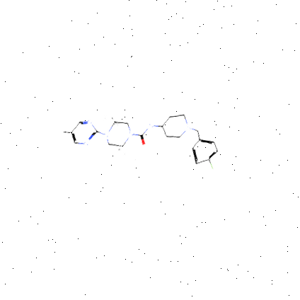 C[C@@H]1CN(c2ncc(C(F)(F)F)cn2)[C@@H](C)CN1C(=O)NC1CCN(Cc2ccc(F)cc2)CC1